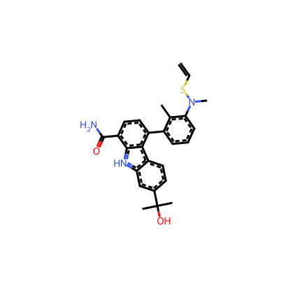 C=CSN(C)c1cccc(-c2ccc(C(N)=O)c3[nH]c4cc(C(C)(C)O)ccc4c23)c1C